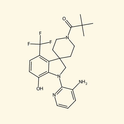 CC(C)(C)C(=O)N1CCC2(CC1)CN(c1ncccc1N)c1c(O)ccc(C(F)(F)F)c12